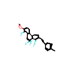 COc1ccc2c(c1F)CC(F)(F)c1c-2ccc(C#Cc2ccc(C)cc2)c1F